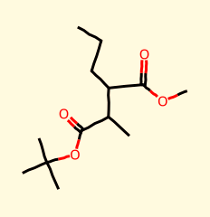 CCCC(C(=O)OC)C(C)C(=O)OC(C)(C)C